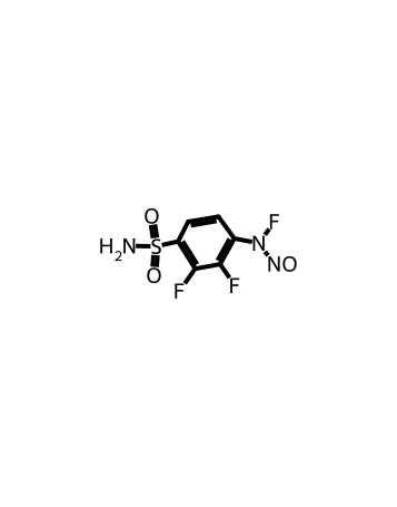 NS(=O)(=O)c1ccc(N(F)N=O)c(F)c1F